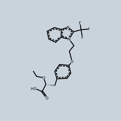 CCO[C@H](Cc1ccc(OCCn2c(C(F)(F)F)nc3ccccc32)cc1)C(=O)O